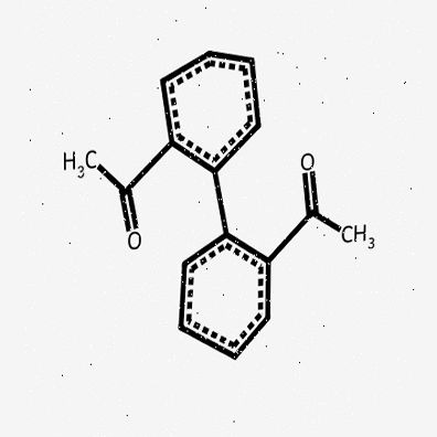 CC(=O)c1ccccc1-c1ccccc1C(C)=O